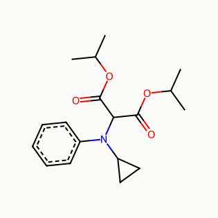 CC(C)OC(=O)C(C(=O)OC(C)C)N(c1ccccc1)C1CC1